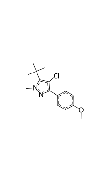 COc1ccc(-c2nn(C)c(C(C)(C)C)c2Cl)cc1